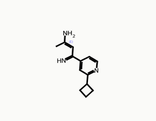 C/C(N)=C\C(=N)c1ccnc(C2CCC2)c1